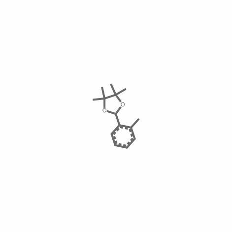 Cc1ccccc1C1OC(C)(C)C(C)(C)O1